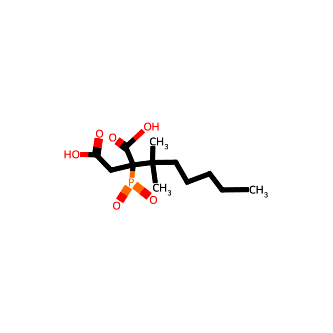 CCCCCC(C)(C)C(CC(=O)O)(C(=O)O)P(=O)=O